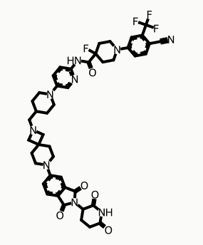 N#Cc1ccc(N2CCC(F)(C(=O)Nc3ccc(N4CCC(CN5CC6(CCN(c7ccc8c(c7)C(=O)N(C7CCC(=O)NC7=O)C8=O)CC6)C5)CC4)cn3)CC2)cc1C(F)(F)F